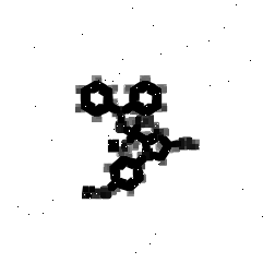 COc1ccc(N2C[C@H](C(C)(C)C)N=C2C(C)(C)OP(c2ccccc2)c2ccccc2)cc1